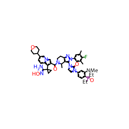 CCP(=O)(CC)c1ccc(-n2ccn(-c3c4c(nn3-c3cc(C)c(F)c(C)c3)CCN(C(=O)c3cn5cc(C6CCOCC6)ccc5c3C3(C(N)=NO)CC3)C4C)c2=O)cc1NC